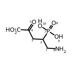 NCC(CC(=O)C(=O)O)P(=O)(O)O